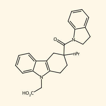 CCCC1(C(=O)N2CCc3ccccc32)CCc2c(c3ccccc3n2CC(=O)O)C1